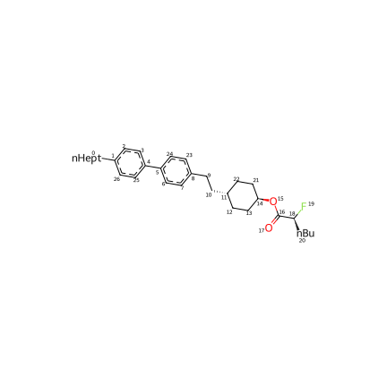 CCCCCCCc1ccc(-c2ccc(CC[C@H]3CC[C@H](OC(=O)[C@@H](F)CCCC)CC3)cc2)cc1